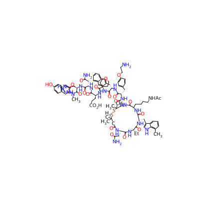 CC[C@@H]1NC(=O)[C@H](CC(N)=O)NC(=O)CC(C)(C)SSC(C)(C)[C@H](C(=O)N[C@@H](Cc2ccc(OCCN)cc2)C(=O)N[C@@H](Cc2ccc3ccccc3c2)C(=O)NC2(C(=O)N[C@@H](CCC(=O)O)C(=O)N[C@@H](CC(N)=O)C(=O)N[C@H](Cc3cnc[nH]3)C(=O)N(C)C(Cc3ccc(O)cc3)C(N)=O)CCOCC2)NC(=O)C(CCCCNC(C)=O)NC(=O)[C@H](Cc2c[nH]c3c(C)cccc23)NC1=O